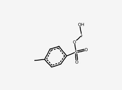 Cc1ccc(S(=O)(=O)O[I]O)cc1